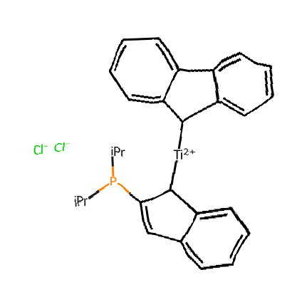 CC(C)P(C1=Cc2ccccc2[CH]1[Ti+2][CH]1c2ccccc2-c2ccccc21)C(C)C.[Cl-].[Cl-]